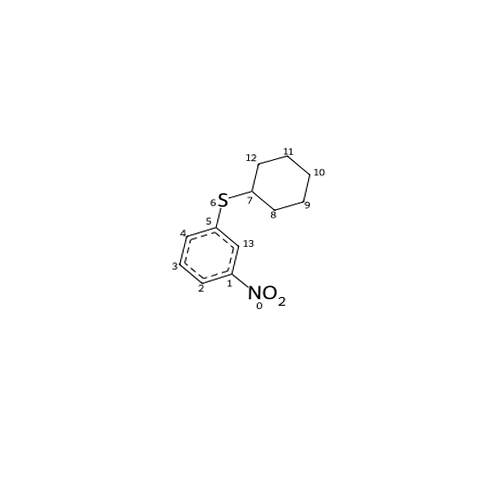 O=[N+]([O-])c1cccc(SC2CCCCC2)c1